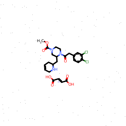 COC(=O)N1CCN(C(=O)Cc2ccc(Cl)c(Cl)c2)C(CC2CC=CCN2)C1.O=C(O)/C=C/C(=O)O